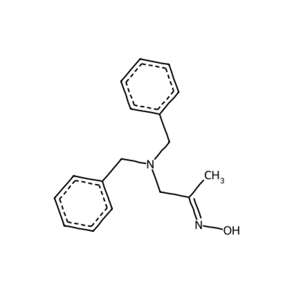 C/C(CN(Cc1ccccc1)Cc1ccccc1)=N\O